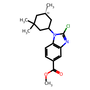 COC(=O)c1ccc2c(c1)nc(Cl)n2C1C[C@@H](C)CC(C)(C)C1